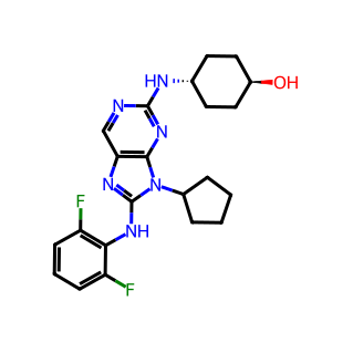 O[C@H]1CC[C@H](Nc2ncc3nc(Nc4c(F)cccc4F)n(C4CCCC4)c3n2)CC1